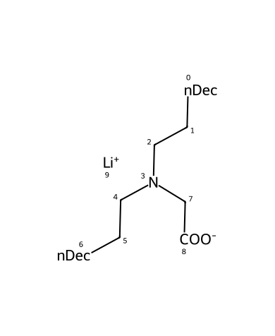 CCCCCCCCCCCCN(CCCCCCCCCCCC)CC(=O)[O-].[Li+]